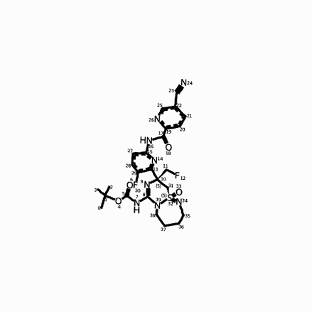 CC(C)(C)OC(=O)NC1=N[C@](CF)(c2nc(NC(=O)c3ccc(C#N)cn3)ccc2F)C[S@@]2(=O)=NCCCCN12